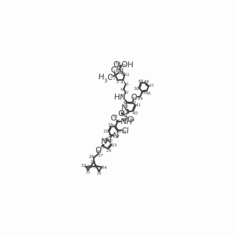 CC1(C)C[C@H](CCCNc2nc(S(=O)(=O)NC(=O)c3ccc(-n4ccc(OCCC5C6(CC6)C56CC6)n4)nc3Cl)ccc2OCc2ccccc2)CN1C(=O)O